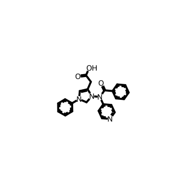 O=C(O)CC1=CN(c2ccccc2)CN1N(C(=O)c1ccccc1)c1ccncc1